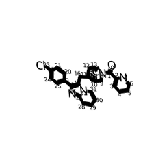 O=C(c1ccccn1)N1CC2CCC1CN2Cc1c(-c2ccc(Cl)cc2)nc2ccccn12